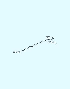 CCCCCC=CCC=CCC=CCC=CCCC(CCC)(CCC)C(N)=O